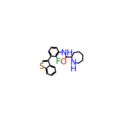 O=C(Nc1cccc(-c2csc3ccccc23)c1F)C1CCCCCN1